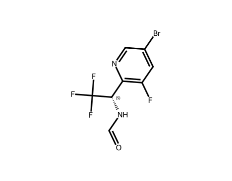 O=CN[C@@H](c1ncc(Br)cc1F)C(F)(F)F